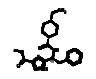 COC(=O)c1c[nH]c([C@H](Cc2ccccc2)NC(=O)[C@H]2CC[C@H](CN)CC2)n1